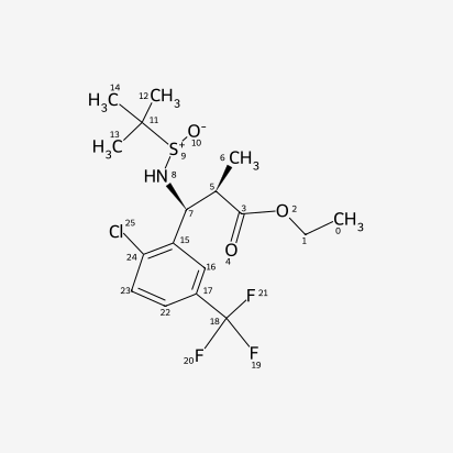 CCOC(=O)[C@H](C)[C@H](N[S+]([O-])C(C)(C)C)c1cc(C(F)(F)F)ccc1Cl